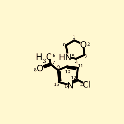 C1COCCN1.CC(=O)c1ccc(Cl)nc1